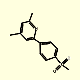 Cc1cc(C)nc(-c2ccc(S(C)(=O)=O)cc2)c1